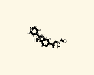 CC(CNC=O)c1ccc2[nH]c(-c3ccncc3)nc2c1